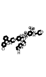 O=C(NS(=O)(=O)c1ccc(NCC2CCOCC2)c([N+](=O)[O-])c1)c1ccc(N2CCC(C(O)c3ccccc3-c3ccc(Cl)cc3)CC2)cc1N1CCOc2nc3[nH]ccc3cc21